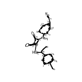 Cc1ccc(C(C)Nc2c(Nc3ccc(C#N)cc3)c(=O)c2=O)cc1